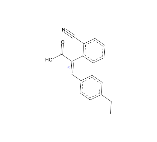 CCc1ccc(/C=C(/C(=O)O)c2ccccc2C#N)cc1